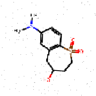 CN(C)c1ccc2c(c1)CC(O)CCS2(=O)=O